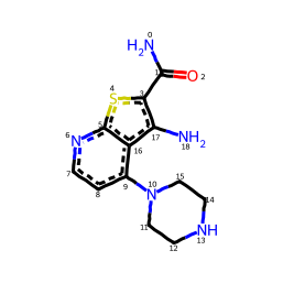 NC(=O)c1sc2nccc(N3CCNCC3)c2c1N